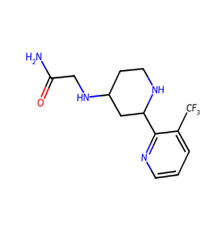 NC(=O)CNC1CCNC(c2ncccc2C(F)(F)F)C1